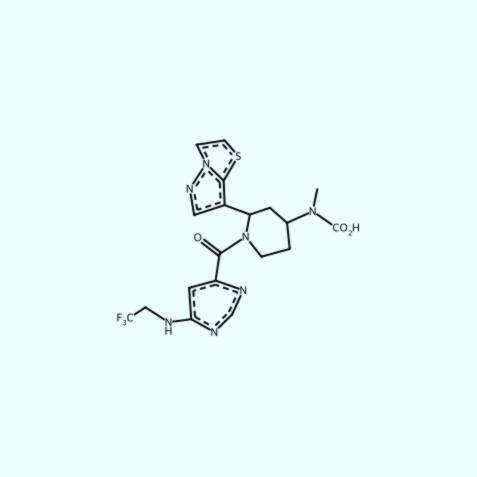 CN(C(=O)O)C1CCN(C(=O)c2cc(NCC(F)(F)F)ncn2)C(c2cnn3ccsc23)C1